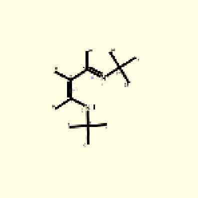 C/C(NC(C)(C)C)=C(C)/C(C)=N/C(C)(C)C